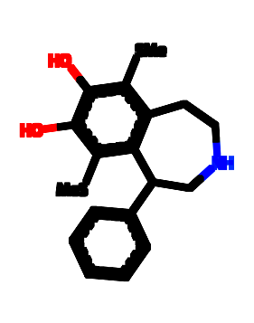 CSc1c(O)c(O)c(SC)c2c1CCNCC2c1ccccc1